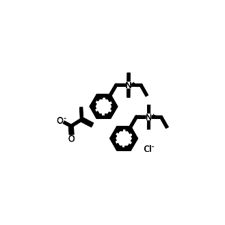 C=C(C)C(=O)[O-].CC[N+](C)(C)Cc1ccccc1.CC[N+](C)(C)Cc1ccccc1.[Cl-]